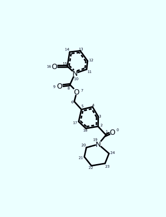 O=C(c1ccc(COC(=O)n2ccccc2=O)cc1)N1CCCCC1